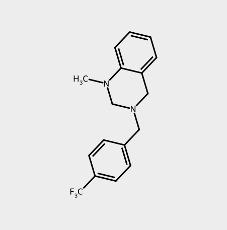 CN1CN(Cc2ccc(C(F)(F)F)cc2)Cc2ccccc21